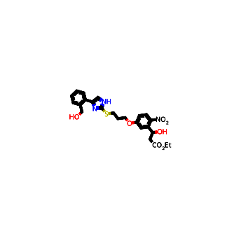 CCOC(=O)CC(O)c1cc(OCCCSc2nc(-c3ccccc3CO)c[nH]2)ccc1[N+](=O)[O-]